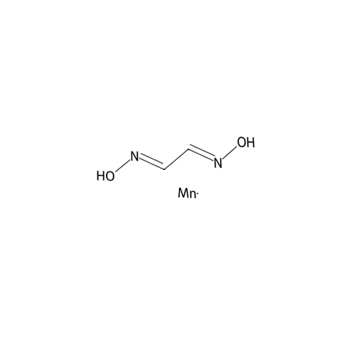 ON=CC=NO.[Mn]